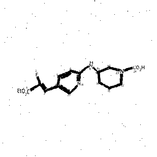 CCOC(=O)C(F)=Cc1ccc(N[C@@H]2CCCN(C(=O)O)C2)nc1